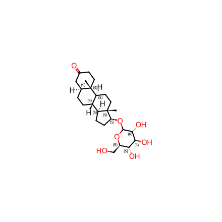 C[C@]12CCC(=O)C[C@@H]1CC[C@@H]1[C@@H]2CC[C@]2(C)[C@@H](OC3O[C@H](CO)[C@@H](O)[C@H](O)[C@H]3O)CC[C@@H]12